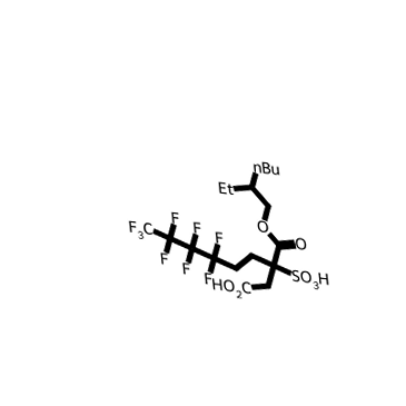 CCCCC(CC)COC(=O)C(CCC(F)(F)C(F)(F)C(F)(F)C(F)(F)F)(CC(=O)O)S(=O)(=O)O